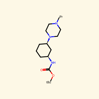 CC(C)N1CCN([C@@H]2CCC[C@H](NC(=O)OC(C)(C)C)C2)CC1